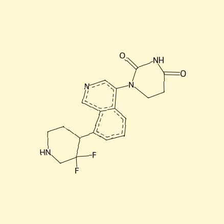 O=C1CCN(c2cncc3c(C4CCNCC4(F)F)cccc23)C(=O)N1